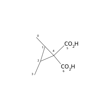 CC1C(C)C1(C(=O)O)C(=O)O